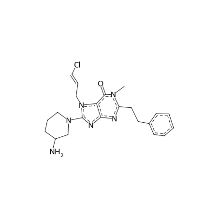 Cn1c(CCc2ccccc2)nc2nc(N3CCCC(N)C3)n(CC=CCl)c2c1=O